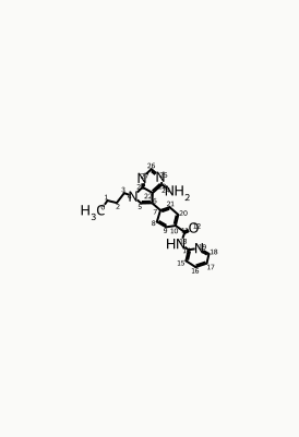 CCCCn1cc(-c2ccc(C(=O)Nc3ccccn3)cc2)c2c(N)ncnc21